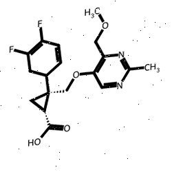 COCc1nc(C)ncc1OC[C@@]1(C2C=CC(F)=C(F)C2)C[C@H]1C(=O)O